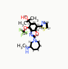 CNC1CCCCN(c2nc3c(OC(F)(F)F)c(C(C)(C)O)cc(-c4nccs4)c3o2)C1